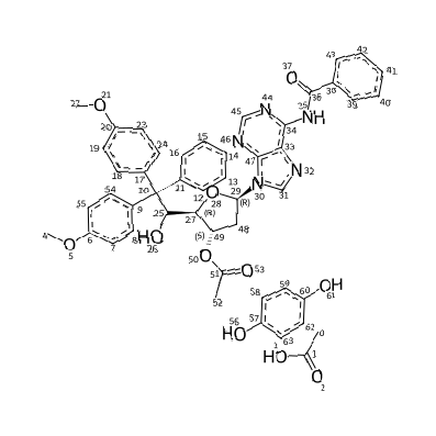 CC(=O)O.COc1ccc(C(c2ccccc2)(c2ccc(OC)cc2)C(O)[C@H]2O[C@@H](n3cnc4c(NC(=O)c5ccccc5)ncnc43)C[C@@H]2OC(C)=O)cc1.Oc1ccc(O)cc1